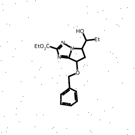 CCOC(=O)c1nc2n(n1)C(C(O)CC)CC2OCc1ccccc1